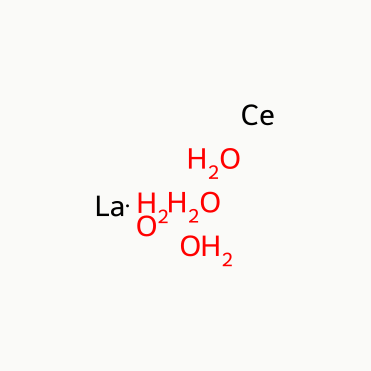 O.O.O.O.[Ce].[La]